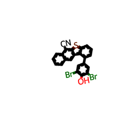 N#Cc1c2ccccc2cc2c1sc1cccc(-c3cc(Br)c(O)c(Br)c3)c12